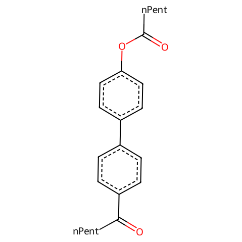 CCCCCC(=O)Oc1ccc(-c2ccc(C(=O)CCCCC)cc2)cc1